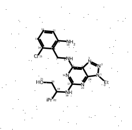 CCn1nnc2c(NCc3c(N)cccc3Cl)nc(NC(CO)C(C)C)nc21